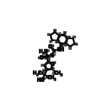 Cc1oc([S@](N)(=O)=NC(=O)Nc2c3c(cc4c2CCC4)CCC3)cc1C(C)(C)O